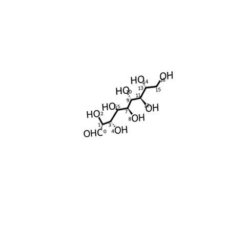 O=C[C@H](O)[C@@H](O)[C@@H](O)[C@H](O)[C@H](O)[C@H](O)[C@H](O)CO